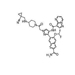 N#CC1(CNC2CCN(C(=O)Cn3cc(NC(=O)c4cnn5cccnc45)c(-c4cc5sc(C(N)=O)cc5cc4OC(F)F)n3)CC2)CC1